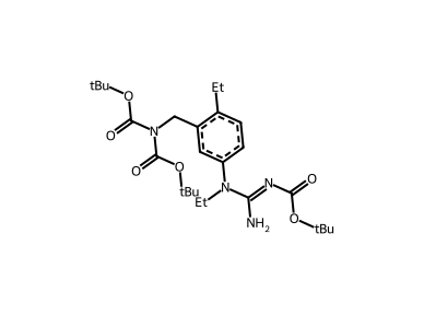 CCc1ccc(N(CC)C(N)=NC(=O)OC(C)(C)C)cc1CN(C(=O)OC(C)(C)C)C(=O)OC(C)(C)C